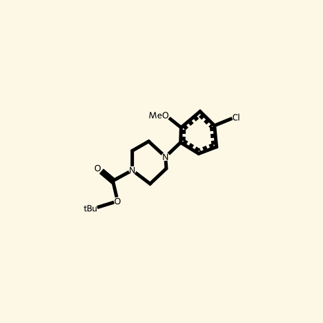 COc1cc(Cl)ccc1N1CCN(C(=O)OC(C)(C)C)CC1